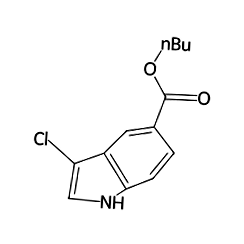 CCCCOC(=O)c1ccc2[nH]cc(Cl)c2c1